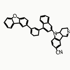 N#Cc1ccc2c(c1)C1C=NCCC1N2c1cc(C2=CC(c3ccc4oc5ccccc5c4c3)=CCC2)c2ccccc2c1